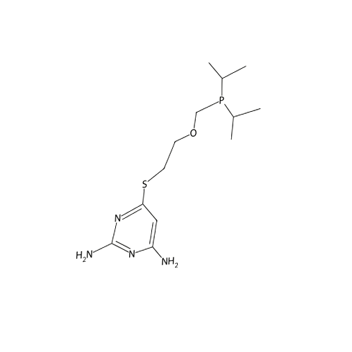 CC(C)P(COCCSc1cc(N)nc(N)n1)C(C)C